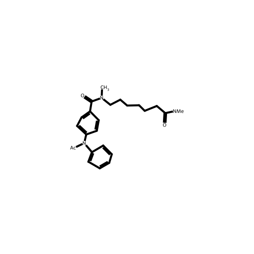 CNC(=O)CCCCCCN(C)C(=O)c1ccc(N(C(C)=O)c2ccccc2)cc1